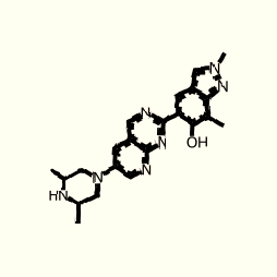 Cc1c(O)c(-c2ncc3cc(N4CC(C)NC(C)C4)cnc3n2)cc2cn(C)nc12